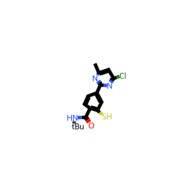 Cc1cc(Cl)nc(-c2ccc(C(=O)NC(C)(C)C)c(S)c2)n1